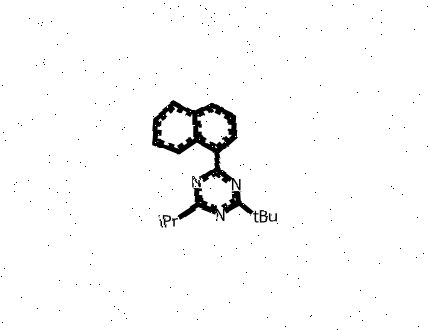 CC(C)c1nc(-c2cccc3ccccc23)nc(C(C)(C)C)n1